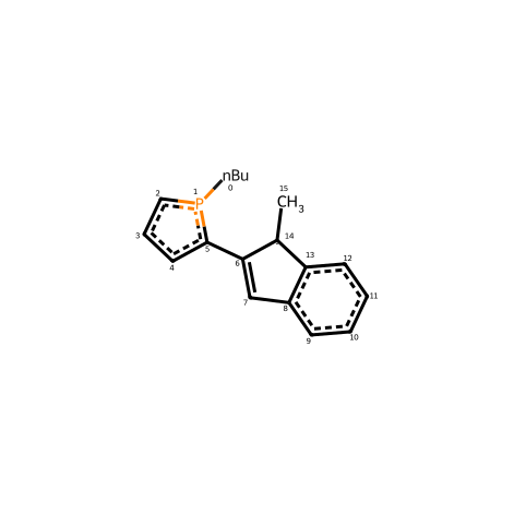 CCCCp1cccc1C1=Cc2ccccc2[C]1C